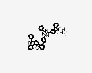 CC1(C)c2ccccc2-c2cc(-c3nc(-c4ccccc4)nc(-c4ccc(-c5cccc6oc7c(ccc8c(-c9ccccc9)nc9ccccc9c87)c56)cc4)n3)ccc21